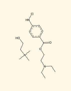 CCN(CC)CCOC(=O)c1ccc(NCl)cc1.C[N+](C)(C)CCO